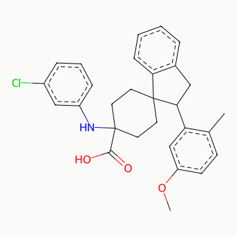 COc1ccc(C)c(C2Cc3ccccc3C23CCC(Nc2cccc(Cl)c2)(C(=O)O)CC3)c1